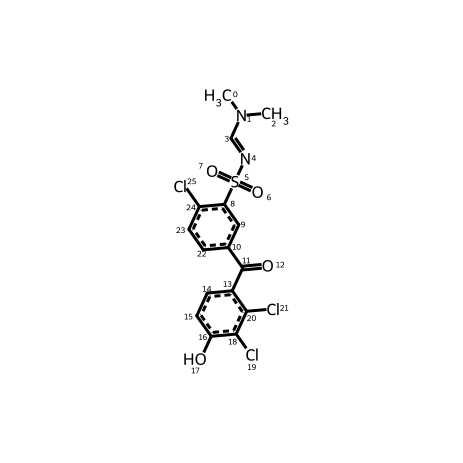 CN(C)C=NS(=O)(=O)c1cc(C(=O)c2ccc(O)c(Cl)c2Cl)ccc1Cl